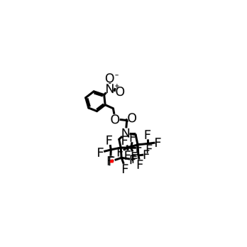 O=C(OCc1ccccc1[N+](=O)[O-])N(CC(C(F)(F)F)(C(F)(F)F)C(F)(F)F)CC(C(F)(F)F)(C(F)(F)F)C(F)(F)F